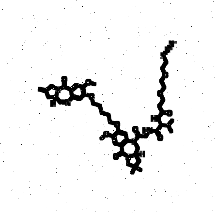 C=C1C[C@H]2C=Nc3cc(OCCCCCOc4cc5c(cc4OC)C(=O)N4CC(C)(C)C[C@H]4CN5C(=O)CNC(=O)[C@@H](NC(=O)CCOCCOCCN=[N+]=[N-])C(C)C)c(OC)cc3C(=O)N2C1